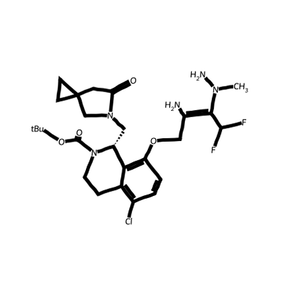 CN(N)/C(=C(\N)COc1ccc(Cl)c2c1[C@@H](CN1CC3(CC3)CC1=O)N(C(=O)OC(C)(C)C)CC2)C(F)F